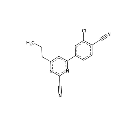 CCCc1cc(-c2ccc(C#N)c(Cl)c2)nc(C#N)n1